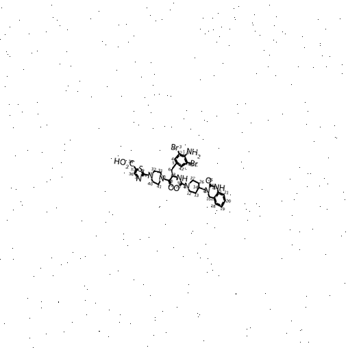 Nc1c(Br)cc(C[C@@H](NC(=O)N2CCC(N3Cc4ccccc4NC3=O)CC2)C(=O)N2CCN(c3ncc(C(=O)O)s3)CC2)cc1Br